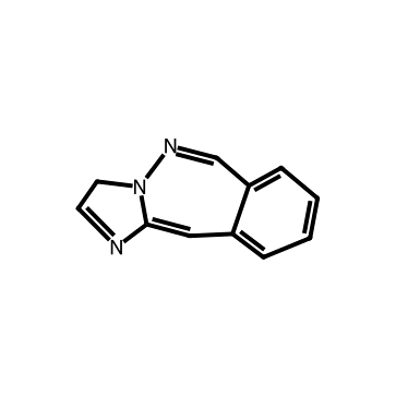 C1=NC2=Cc3ccccc3C=NN2C1